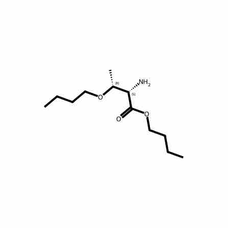 CCCCOC(=O)[C@@H](N)[C@@H](C)OCCCC